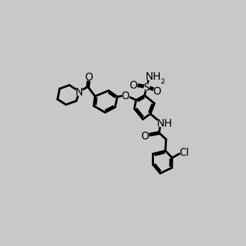 NS(=O)(=O)c1cc(NC(=O)Cc2ccccc2Cl)ccc1Oc1cccc(C(=O)N2CCCCC2)c1